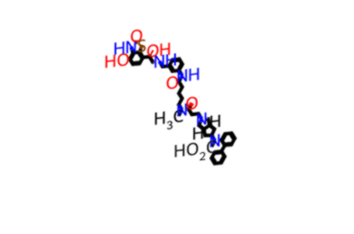 CN(CCCCC(=O)Nc1cccc(CNC[C@H](O)c2ccc(O)c3[nH]c(=O)sc23)c1)C(=O)CCN1C[C@H]2CC(N(C(=O)O)c3ccccc3-c3ccccc3)C[C@H]2C1